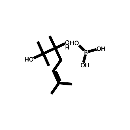 CC(C)=CCC(C)(O)C(C)(C)O.OB(O)O